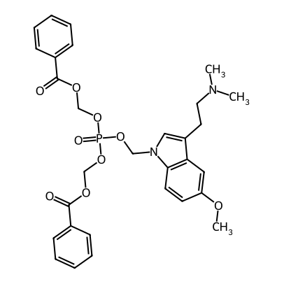 COc1ccc2c(c1)c(CCN(C)C)cn2COP(=O)(OCOC(=O)c1ccccc1)OCOC(=O)c1ccccc1